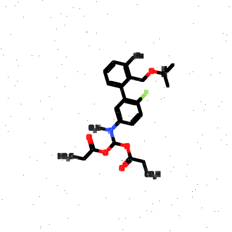 C[SiH](C)OCc1c(-c2cc(N(C(OC(=O)CC(=O)O)OC(=O)CC(=O)O)[N+](=O)[O-])ccc2F)cccc1C(C)(C)C